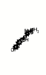 NC(=O)Nc1ccc(OCC(O)CN2CCN(c3ccc(Cl)cc3)CC2)cc1